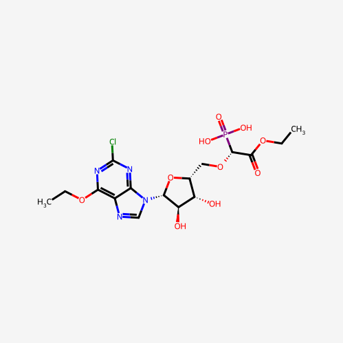 CCOC(=O)[C@H](OC[C@H]1O[C@@H](n2cnc3c(OCC)nc(Cl)nc32)[C@H](O)[C@H]1O)P(=O)(O)O